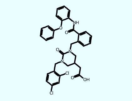 O=C(O)CC1CN(Cc2ccc(Cl)cc2Cl)C(=O)N(Cc2ccccc2C(=O)Nc2ccccc2Oc2ccccc2)C1